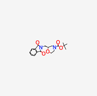 CC(C)(C)OC(=O)N1CCO[C@@H](CN2C(=O)c3ccccc3C2=O)C1